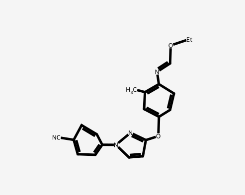 CCO/C=N/c1ccc(Oc2ccn(-c3ccc(C#N)cc3)n2)cc1C